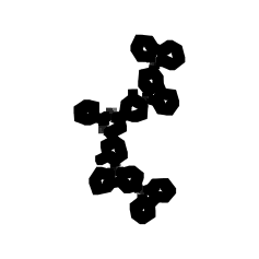 Cc1cc(-c2cc(-c3ccc(-n4c5ccccc5c5cc(-n6c7ccccc7c7ccccc76)ccc54)c(C)c3)nc(-c3ccccc3)n2)ccc1-n1c2ccccc2c2cc(-n3c4ccccc4c4ccccc43)ccc21